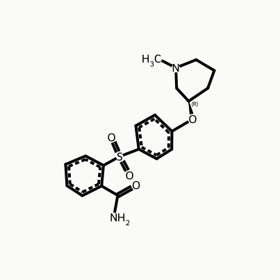 CN1CCC[C@@H](Oc2ccc(S(=O)(=O)c3ccccc3C(N)=O)cc2)C1